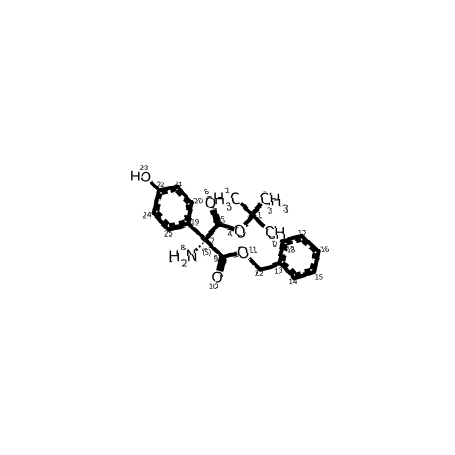 CC(C)(C)OC(=O)[C@@](N)(C(=O)OCc1ccccc1)c1ccc(O)cc1